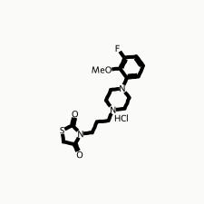 COc1c(F)cccc1N1CCN(CCCN2C(=O)CSC2=O)CC1.Cl